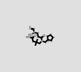 CC(C)(CC(=O)O)CN(CC1CCCC1)C(=O)CCN(O)C=O